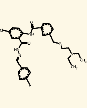 CCN(CC)CCSCc1cccc(C(=O)Nc2ccc(Cl)cc2C(=O)N/N=C/c2ccc(F)cc2)c1